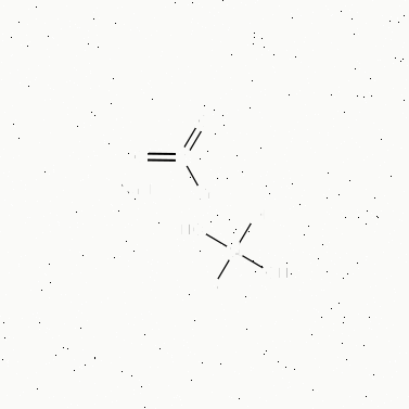 O=[P](=O)[Zr].O[Si](O)(O)O.[NaH]